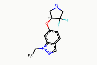 FC(F)(F)Cn1ncc2ccc(O[C@H]3CNCC3(F)F)cc21